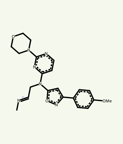 C/N=C/CN(c1ccnc(N2CCOCC2)n1)c1cc(-c2ccc(OC)cc2)no1